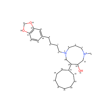 CN1CCCN(CCCCc2ccc3c(c2)OCO3)CC(C2CCCCCCCC2)C(O)C1